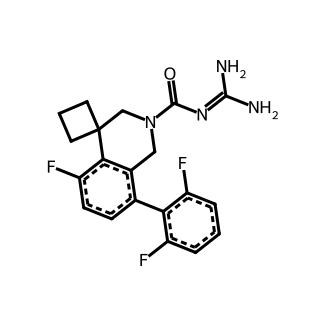 NC(N)=NC(=O)N1Cc2c(-c3c(F)cccc3F)ccc(F)c2C2(CCC2)C1